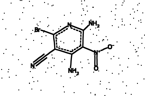 N#Cc1c(Br)nc(N)c([N+](=O)[O-])c1N